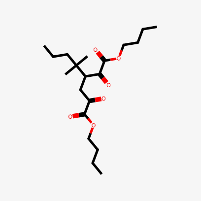 CCCCOC(=O)C(=O)CC(C(=O)C(=O)OCCCC)C(C)(C)CCC